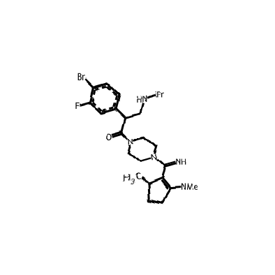 CNC1=C(C(=N)N2CCN(C(=O)C(CNC(C)C)c3ccc(Br)c(F)c3)CC2)[C@H](C)CC1